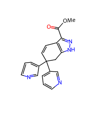 COC(=O)c1n[nH]c2c1C=CC(c1cccnc1)(c1cccnc1)C2